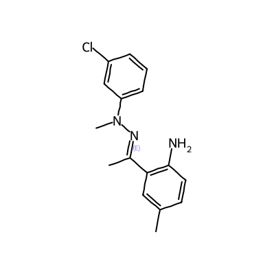 C/C(=N\N(C)c1cccc(Cl)c1)c1cc(C)ccc1N